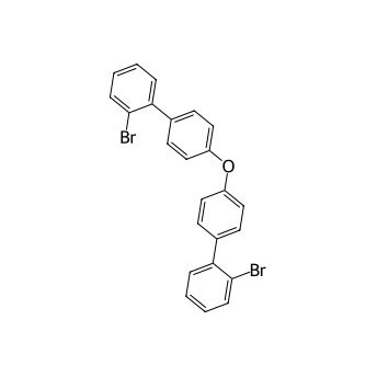 Brc1ccccc1-c1ccc(Oc2ccc(-c3ccccc3Br)cc2)cc1